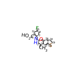 C/C(=C/C(=O)Nc1ccc(F)cc1C(=O)O)c1ccc2ccsc2c1